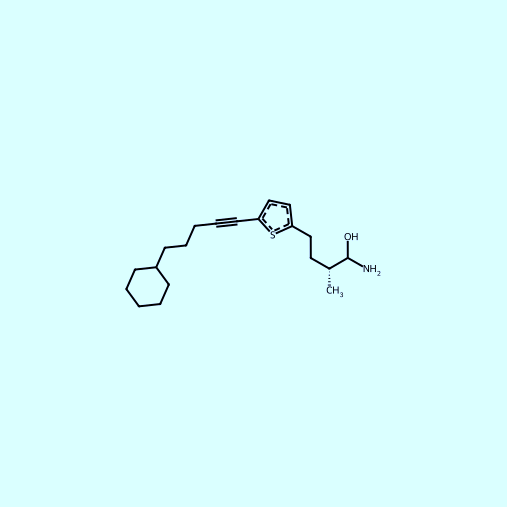 C[C@H](CCc1ccc(C#CCCCC2CCCCC2)s1)C(N)O